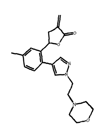 C=C1CC(c2cc(C)ccc2-c2cnn(CCN3CCOCC3)c2)OC1=O